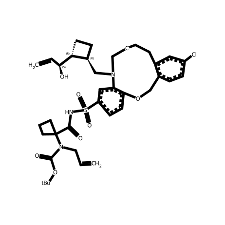 C=CCN(C(=O)OC(C)(C)C)C1(C(=O)NS(=O)(=O)c2ccc3c(c2)N(C[C@@H]2CC[C@H]2[C@@H](O)C=C)CCCCc2cc(Cl)ccc2CO3)CCC1